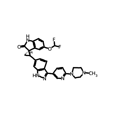 CN1CCN(c2ccc(-c3n[nH]c4cc(C5C[C@@]56C(=O)Nc5ccc(OC(F)F)cc56)ccc34)cn2)CC1